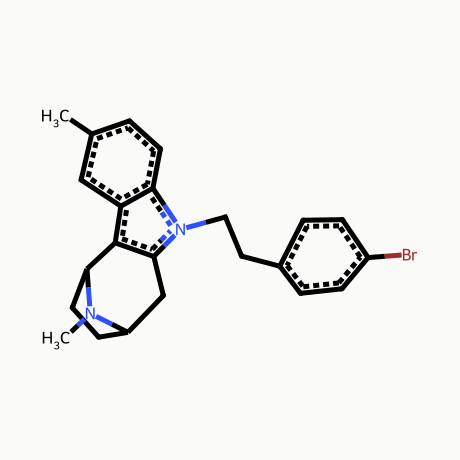 Cc1ccc2c(c1)c1c(n2CCc2ccc(Br)cc2)CC2CCC1N2C